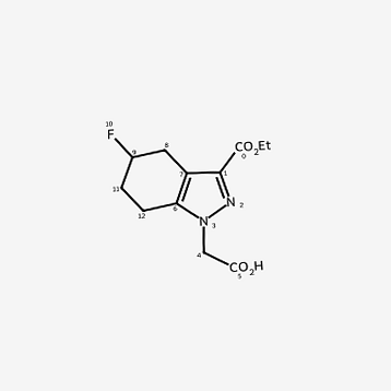 CCOC(=O)c1nn(CC(=O)O)c2c1CC(F)CC2